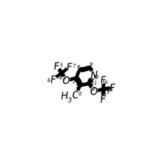 Cc1c(OC(F)(F)F)ccnc1OC(F)(F)F